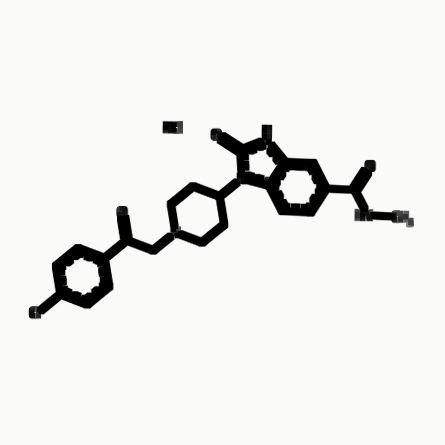 CNC(=O)c1ccc2c(c1)[nH]c(=O)n2C1CCN(CC(=O)c2ccc(Cl)cc2)CC1.Cl